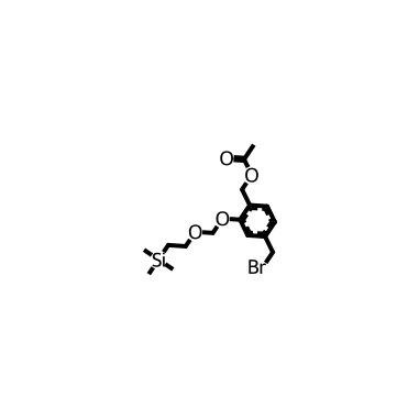 CC(=O)OCc1ccc(CBr)cc1OCOCC[Si](C)(C)C